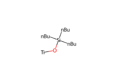 CCCC[Si](CCCC)(CCCC)[O][Ti]